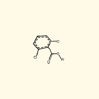 CC(C)OC(=O)c1c(Cl)cccc1Cl